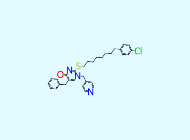 O=c1nc(SCCCCCCCCc2ccc(Cl)cc2)n(Cc2ccncc2)cc1Cc1ccccc1